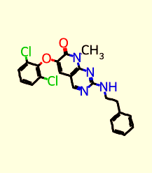 Cn1c(=O)c(Oc2c(Cl)cccc2Cl)cc2cnc(NCCc3ccccc3)nc21